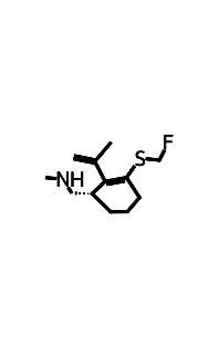 C=C(C)C1=C(SCF)CCC[C@@H]1CNC